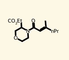 CCC/C(C)=C/C(=O)N1CCOCC1C(=O)OCC